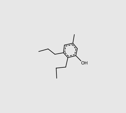 CCCc1cc(C)cc(O)c1CCC